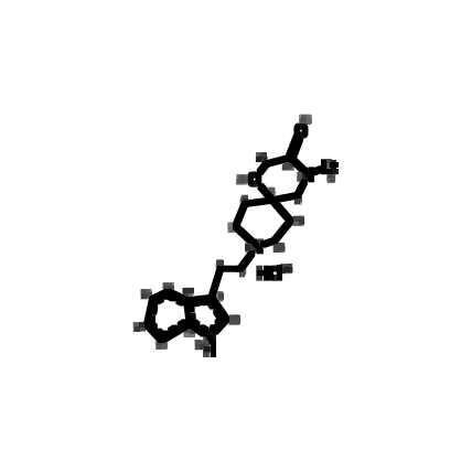 CCN1CC2(CCN(CCc3c[nH]c4ccccc34)CC2)OCC1=O.Cl